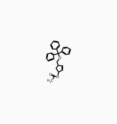 CC(=O)OC1C=CC(COC(c2ccccc2)(c2ccccc2)c2ccccc2)C1